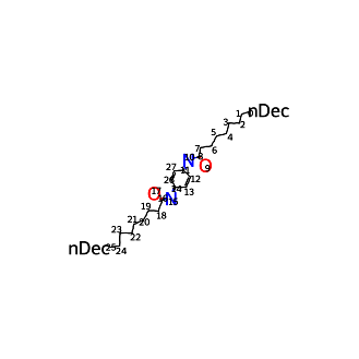 CCCCCCCCCCCCCCCCCC(=O)N=C1C=CC(=NC(=O)CCCCCCCCCCCCCCCCC)C=C1